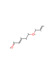 C=CCOCCC=CC=O